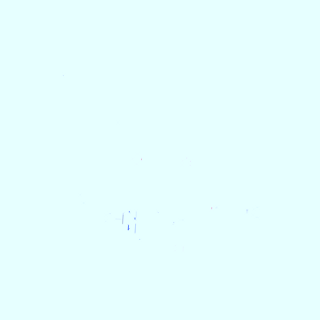 CCl.NC(C(=O)OCCl)C(=O)OCc1ccccc1